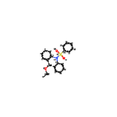 C[Se]O[Se]c1ccccc1N(c1ccccc1)S(=O)(=O)c1ccccc1